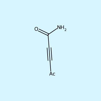 CC(=O)C#CC(N)=O